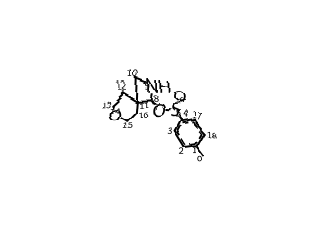 Cc1ccc(S(=O)OC2NCC23CCOCC3)cc1